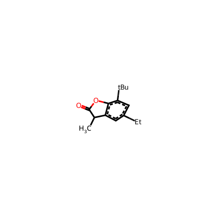 CCc1cc2c(c(C(C)(C)C)c1)OC(=O)C2C